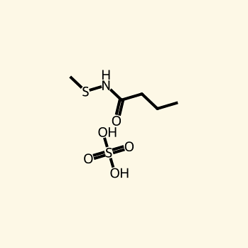 CCCC(=O)NSC.O=S(=O)(O)O